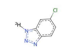 [2H]n1nnc2ccc(Cl)cc21